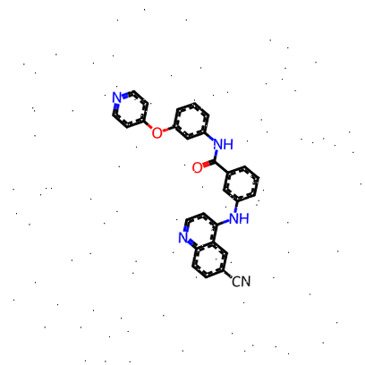 N#Cc1ccc2nccc(Nc3cccc(C(=O)Nc4cccc(Oc5ccncc5)c4)c3)c2c1